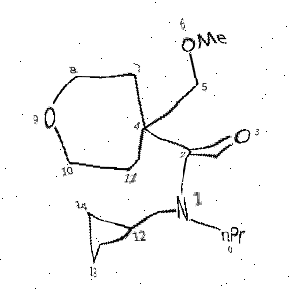 CCCN(C(=O)C1(COC)CCOCC1)C1CC1